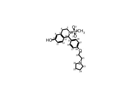 CS(=O)(=O)N1CCc2cc(O)ccc2C1c1ccc(OCCN2CCCC2)cc1